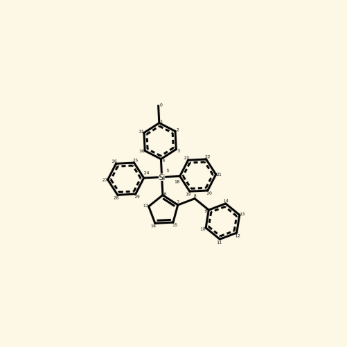 Cc1ccc([Si](C2=C(Cc3ccccc3)C=CC2)(c2ccccc2)c2ccccc2)cc1